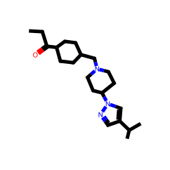 CCC(=O)C1CCC(CN2CCC(n3cc(C(C)C)cn3)CC2)CC1